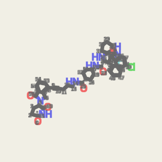 O=C1CCC(N2Cc3c(C#CCCCNC(=O)[C@H]4CC[C@H](NC(=O)[C@@H]5NC6(CCCCC6)[C@@]6(C(=O)Nc7cc(Cl)ccc76)[C@H]5c5ccccc5F)CC4)cccc3C2=O)C(=O)N1